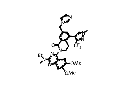 CCN(C)c1nc(N2CCc3c(cc(Cn4ccnc4)cc3-c3cn(C)nc3C(F)(F)F)C2=O)c2cc(OC)c(OC)cc2n1